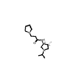 CC(C)N1C[C@@H](C)[C@H](NC(=O)CCN2CCCC2)C1